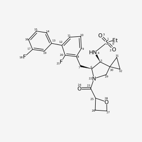 CCS(=O)(=O)N[C@@H]1[C@H](Cc2cccc(-c3cccc(F)c3)c2F)N(C(=O)C2CCO2)CC12CC2